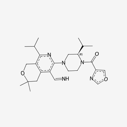 CC(C)c1nc(N2CCN(C(=O)c3cocn3)[C@H](C(C)C)C2)c(C=N)c2c1COC(C)(C)C2